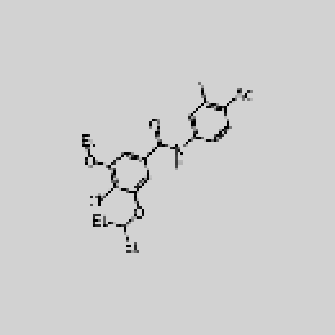 CCOc1cc(C(=O)Nc2ccc(C(C)=O)c(C)c2)cc(OC(CC)CC)c1Cl